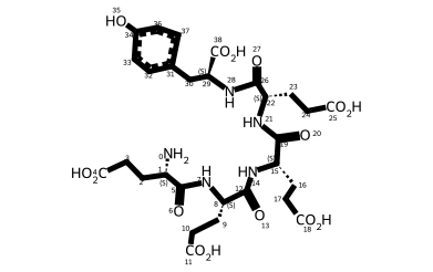 N[C@@H](CCC(=O)O)C(=O)N[C@@H](CCC(=O)O)C(=O)N[C@@H](CCC(=O)O)C(=O)N[C@@H](CCC(=O)O)C(=O)N[C@@H](Cc1ccc(O)cc1)C(=O)O